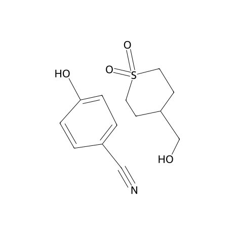 N#Cc1ccc(O)cc1.O=S1(=O)CCC(CO)CC1